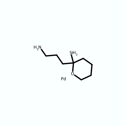 NCCCC1([SiH3])CCCCO1.[Pd]